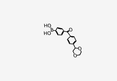 O=C(c1ccc(B(O)O)cc1)c1ccc(C2COCCO2)cc1